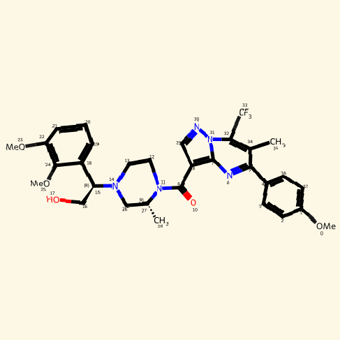 COc1ccc(-c2nc3c(C(=O)N4CCN([C@@H](CO)c5cccc(OC)c5OC)C[C@H]4C)cnn3c(C(F)(F)F)c2C)cc1